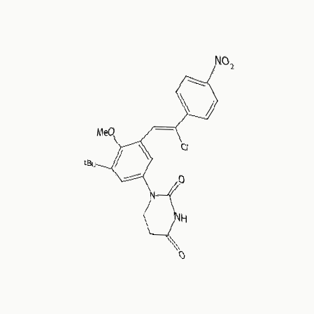 COc1c(/C=C(\Cl)c2ccc([N+](=O)[O-])cc2)cc(N2CCC(=O)NC2=O)cc1C(C)(C)C